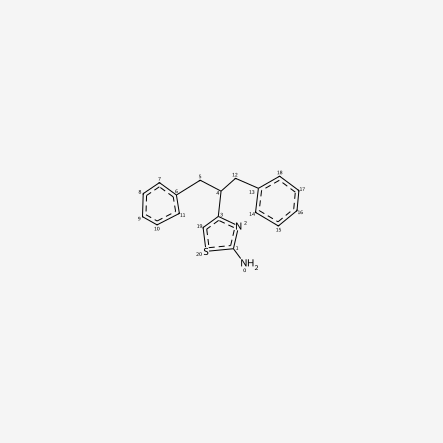 Nc1nc(C(Cc2ccccc2)Cc2ccccc2)cs1